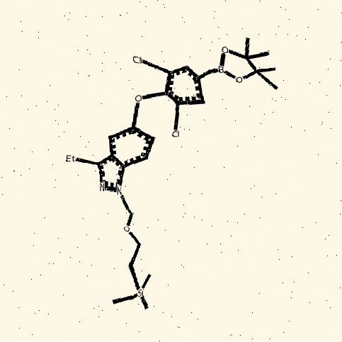 CCc1nn(COCC[Si](C)(C)C)c2ccc(Oc3c(Cl)cc(B4OC(C)(C)C(C)(C)O4)cc3Cl)cc12